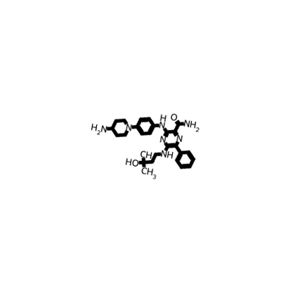 CC(C)(O)CCNc1nc(Nc2ccc(N3CCC(N)CC3)cc2)c(C(N)=O)nc1-c1ccccc1